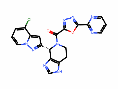 O=C(c1nnc(-c2ncccn2)o1)N1CCc2[nH]cnc2[C@@H]1c1cc2c(Cl)cccn2n1